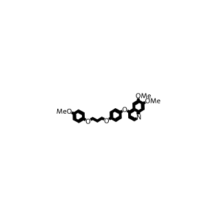 COc1ccc(OCCCOc2ccc(Oc3ccnc4cc(OC)c(OC)cc34)cc2)cc1